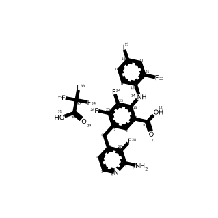 Nc1nccc(Cc2cc(C(=O)O)c(Nc3ccc(I)cc3F)c(F)c2F)c1F.O=C(O)C(F)(F)F